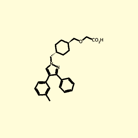 Cc1cccc(-c2cn(C[C@H]3CC[C@H](COCC(=O)O)CC3)nc2-c2ccccc2)c1